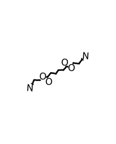 N#CCCOC(=O)CCCCC(=O)OCCC#N